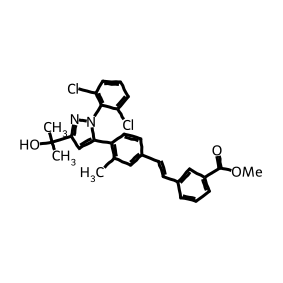 COC(=O)c1cccc(C=Cc2ccc(-c3cc(C(C)(C)O)nn3-c3c(Cl)cccc3Cl)c(C)c2)c1